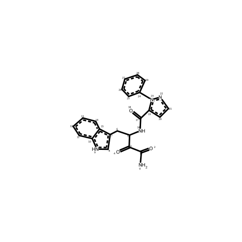 NC(=O)C(=O)C(Cc1c[nH]c2ccccc12)NC(=O)c1ccnn1-c1ccccc1